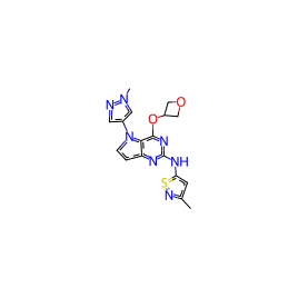 Cc1cc(Nc2nc(OC3COC3)c3c(ccn3-c3cnn(C)c3)n2)sn1